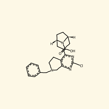 O=C(O)N1[C@@H]2CC[C@H]1CN(c1nc(Cl)nc3c1CCN(Cc1ccccc1)C3)C2